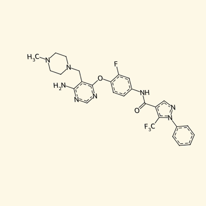 CN1CCN(Cc2c(N)ncnc2Oc2ccc(NC(=O)c3cnn(-c4ccccc4)c3C(F)(F)F)cc2F)CC1